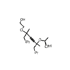 CC(C)CC(C)(C#CC(C)(CC(C)C)OC(C)O)OCCO